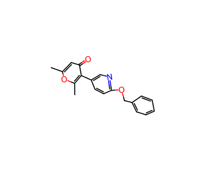 Cc1cc(=O)c(-c2ccc(OCc3ccccc3)nc2)c(C)o1